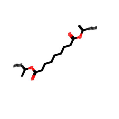 CCCCCC(C)OC(=O)CCCCCCCC(=O)OC(C)CCCCC